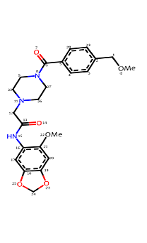 COCc1ccc(C(=O)N2CCN(CC(=O)Nc3cc4c(cc3OC)OCO4)CC2)cc1